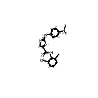 Cc1cccc(Cl)c1NC(=O)c1cnc(Nc2ccc(N(C)C)cc2)s1